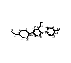 CCC1CCC(c2ccc(-c3ccc(C)cc3)c(F)c2)CC1